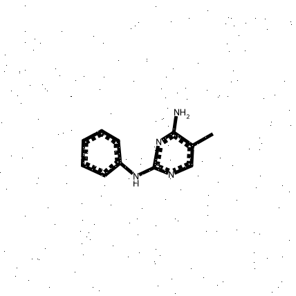 Cc1cnc(Nc2ccccc2)nc1N